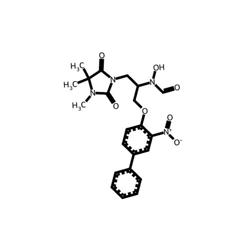 CN1C(=O)N(CC(COc2ccc(-c3ccccc3)cc2[N+](=O)[O-])N(O)C=O)C(=O)C1(C)C